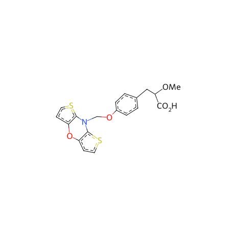 COC(Cc1ccc(OCN2c3sccc3Oc3ccsc32)cc1)C(=O)O